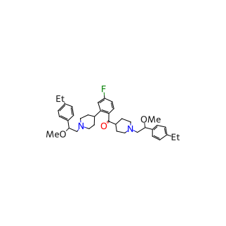 CCc1ccc(C(CN2CCC(C(=O)c3ccc(F)cc3C3CCN(CC(OC)c4ccc(CC)cc4)CC3)CC2)OC)cc1